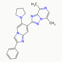 Cc1ncc(C)n2nc(-c3cc4nc(-c5ccccc5)cn4cc3N3CCCC3)nc12